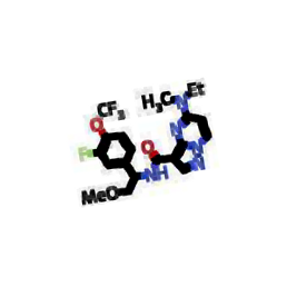 CCN(C)c1ccn2ncc(C(=O)NC(COC)c3ccc(OC(F)(F)F)c(F)c3)c2n1